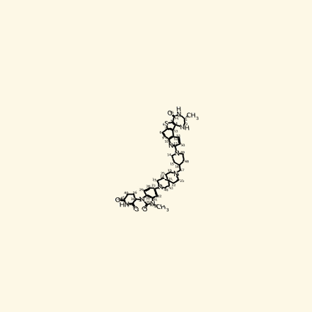 C[C@@H]1CNc2c(sc3ccc4nc(N5CCC(CN6CCC7(CC6)CCN(c6ccc8c(c6)n(C)c(=O)n8C6CCC(=O)NC6=O)CC7)CC5)ccc4c23)C(=O)N1